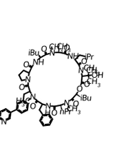 CCC[C@H]1C(=O)NC(Cc2ccccc2)C(=O)N(C)C(Cc2cccc(-c3cccnc3)c2)C(=O)N2CCCC2C(=O)NC(C(C)CC)C(=O)N(C)[C@@H](C)C(=O)NC(CC(C)C)C(=O)N(C)C(C(C)(C)O)C(=O)OC([C@H](C)CC)C(=O)N1C